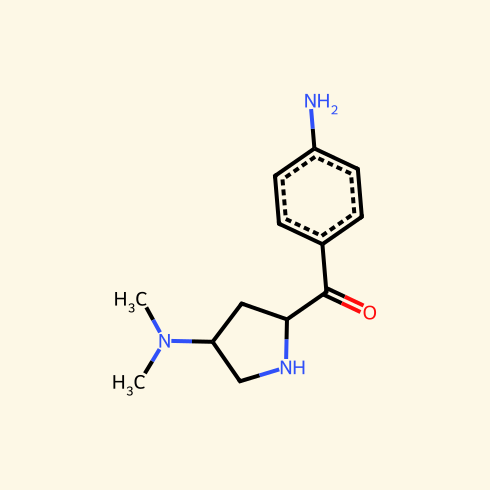 CN(C)C1CNC(C(=O)c2ccc(N)cc2)C1